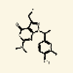 CC(c1ccc(C(F)(F)F)c(F)c1)n1nc(CF)c2c(=O)[nH]c(N(C)C)nc21